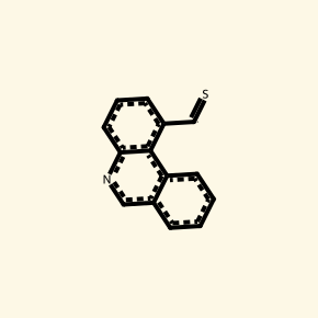 S=[C]c1cccc2ncc3ccccc3c12